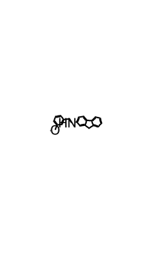 COc1cccc(CNc2ccc3c(c2)Cc2ccccc2-3)c1